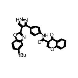 CC(C)(C)c1ccc2oc(-c3c[nH]nc3-c3ccc(NC(=O)c4coc5ccccc5c4=O)cc3)nc2c1